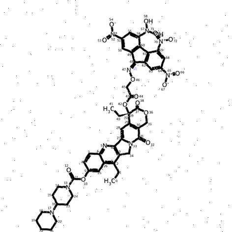 CCc1c2c(nc3ccc(OC(=O)N4CCC(N5CCCCC5)CC4)cc13)-c1cc3c(c(=O)n1C2)COC(=O)[C@@]3(CC)OC(=O)CO/N=C1/c2cc([N+](=O)[O-])cc(N(O)O)c2-c2c1cc([N+](=O)[O-])cc2[N+](=O)[O-]